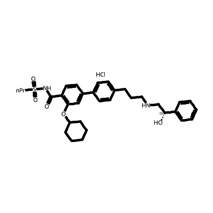 CCCS(=O)(=O)NC(=O)c1ccc(-c2ccc(CCCNC[C@@H](O)c3ccccc3)cc2)cc1OC1CCCCC1.Cl